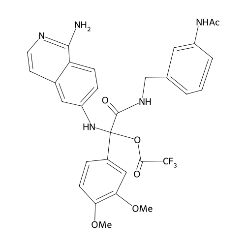 COc1ccc(C(Nc2ccc3c(N)nccc3c2)(OC(=O)C(F)(F)F)C(=O)NCc2cccc(NC(C)=O)c2)cc1OC